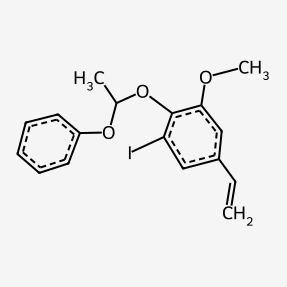 C=Cc1cc(I)c(OC(C)Oc2ccccc2)c(OC)c1